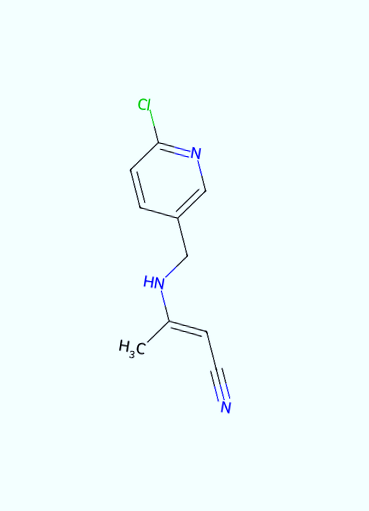 CC(=CC#N)NCc1ccc(Cl)nc1